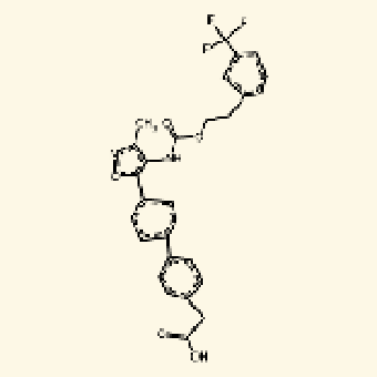 Cc1noc(-c2ccc(-c3ccc(CC(=O)O)cc3)cc2)c1NC(=O)OCCc1cccc(C(F)(F)F)c1